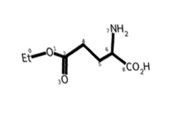 CCOC(=O)CCC(N)C(=O)O